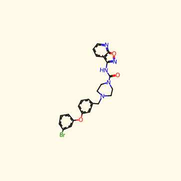 O=C(Nc1noc2ncccc12)N1CCN(Cc2cccc(Oc3cccc(Br)c3)c2)CC1